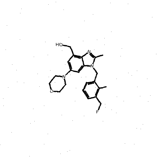 Cc1c(CF)cccc1Cn1c(C)nc2c(CO)cc(N3CCOCC3)cc21